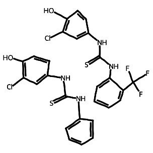 Oc1ccc(NC(=S)Nc2ccccc2)cc1Cl.Oc1ccc(NC(=S)Nc2ccccc2C(F)(F)F)cc1Cl